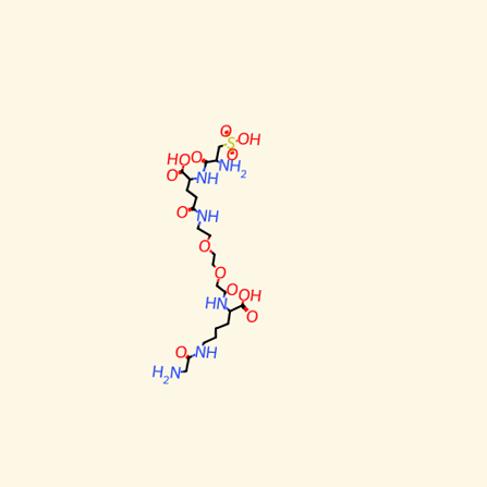 NCC(=O)NCCCCC(NC(=O)COCCOCCNC(=O)CCC(NC(=O)C(N)CS(=O)(=O)O)C(=O)O)C(=O)O